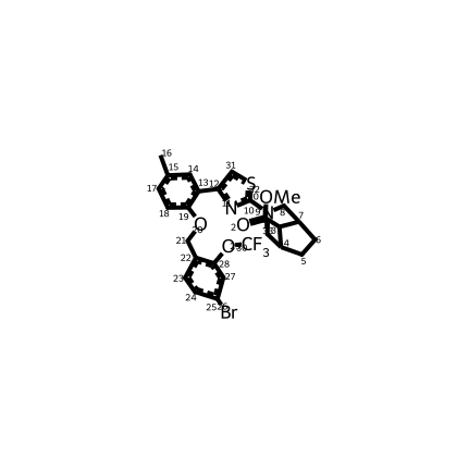 COC(=O)C1C2CCC1CN(c1nc(-c3cc(C)ccc3OCc3ccc(Br)cc3OC(F)(F)F)cs1)C2